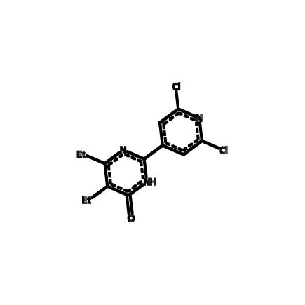 CCc1nc(-c2cc(Cl)nc(Cl)c2)[nH]c(=O)c1CC